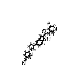 N#Cc1ccc(N2CCC(c3ccc4[nH]c(C(=O)Nc5cncc(F)c5)cc4c3)C2)nn1